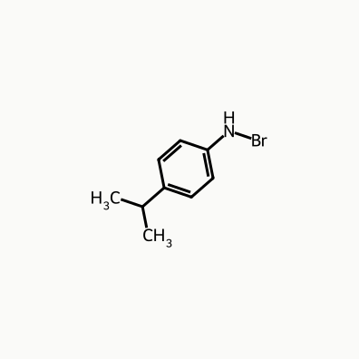 CC(C)c1ccc(NBr)cc1